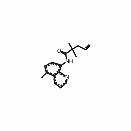 C=CCC(C)(C)C(=O)Nc1ccc(I)c2cccnc12